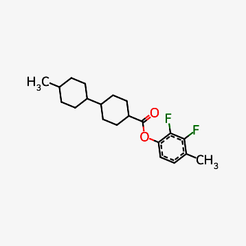 Cc1ccc(OC(=O)C2CCC(C3CCC(C)CC3)CC2)c(F)c1F